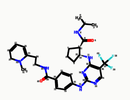 CC(C)NC(=O)[C@H]1CCC[C@H]1Nc1nc(Nc2ccc(C(=O)NCCC3=CC=CCN3C)cc2)ncc1C(F)(F)F